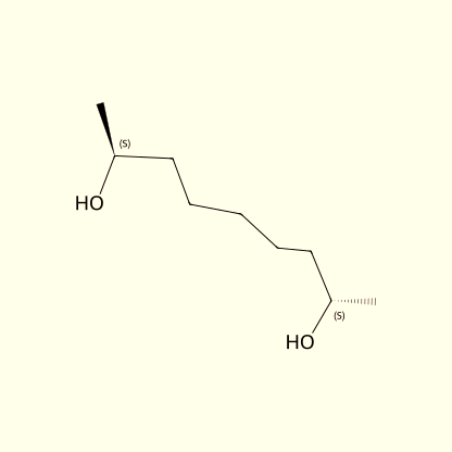 C[C@H](O)CCCCC[C@H](C)O